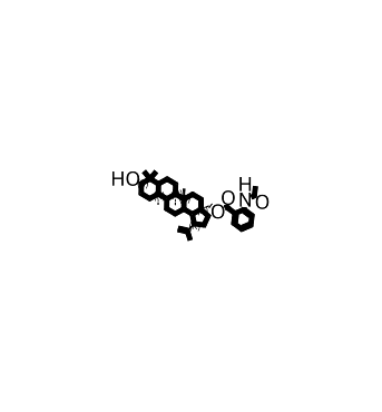 C=C(C)[C@@H]1CC[C@]2(COC(=O)c3ccccc3NC(C)=O)CC[C@]3(C)C(CCC4[C@@]5(C)CC[C@H](O)C(C)(C)C5CC[C@]43C)C12